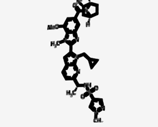 COc1cc(C(=O)N2[C@H]3CC[C@@H]2[C@H](N)C3)cc2nc(-c3cc4ccc([C@@H](C)NS(=O)(=O)c5cnn(C)c5)nc4n3CC3CC3)n(C)c12